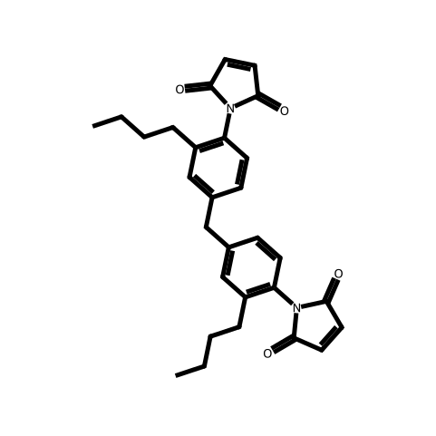 CCCCc1cc(Cc2ccc(N3C(=O)C=CC3=O)c(CCCC)c2)ccc1N1C(=O)C=CC1=O